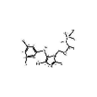 CCc1nc(C)n(COC(C)O[Si](C)(C)C)c1Sc1cc(C)cc(C)c1